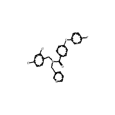 O=C(c1ccc(Oc2ccc(F)cc2)cc1)N(Cc1cccnc1)Cc1ccc(Cl)cc1Cl